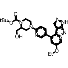 CCOc1cc(-c2ccc(N3CCN(C(=O)OC(C)(C)C)C(CO)C3)nc2)c2c3cn[nH]c3nn2c1